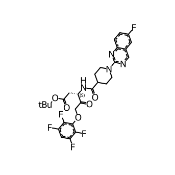 CC(C)(C)OC(=O)C[C@H](NC(=O)C1CCN(c2ncc3cc(F)ccc3n2)CC1)C(=O)COc1c(F)c(F)cc(F)c1F